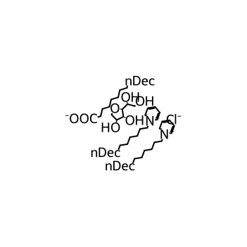 CCCCCCCCCCCCCCCCCC(=O)[O-].CCCCCCCCCCCCCCCC[n+]1ccccc1.CCCCCCCCCCCCCCCC[n+]1ccccc1.OC[C@@H](O)[C@H]1OC[C@H](O)[C@H]1O.[Cl-]